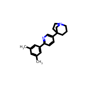 Cc1cc(C)cc(-c2ccc(C34CCCN(CC3)C4)cn2)c1